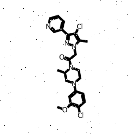 COc1cc(N2CCN(C(=O)Cn3nc(-c4cccnc4)c(Cl)c3C)C(C)C2)ccc1Cl